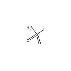 BS(=O)(=O)I